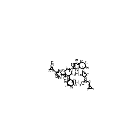 CN(CC1CC1)C1CN([C@H]2CCCC(F)(F)[C@@H]2NC(=O)N2CCC(C)(c3noc([C@@H]4C[C@@H]4F)n3)C(c3ccccc3)C2)C1